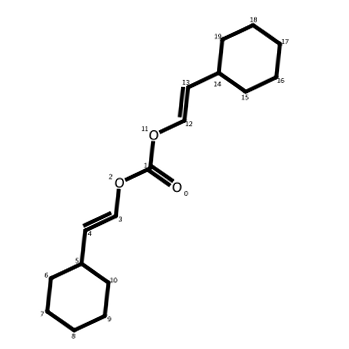 O=C(OC=CC1CCCCC1)OC=CC1CCCCC1